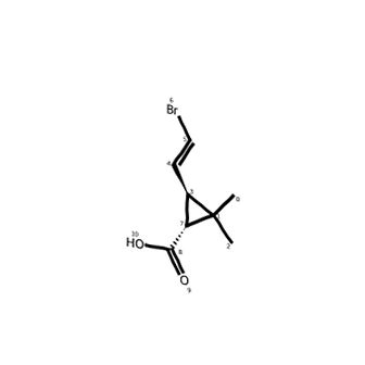 CC1(C)[C@H](C=CBr)[C@H]1C(=O)O